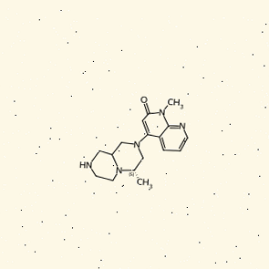 C[C@H]1CN(c2cc(=O)n(C)c3ncccc23)CC2CNCCN21